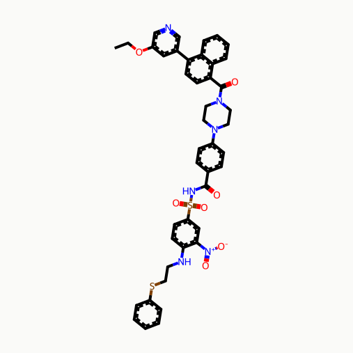 CCOc1cncc(-c2ccc(C(=O)N3CCN(c4ccc(C(=O)NS(=O)(=O)c5ccc(NCCSc6ccccc6)c([N+](=O)[O-])c5)cc4)CC3)c3ccccc23)c1